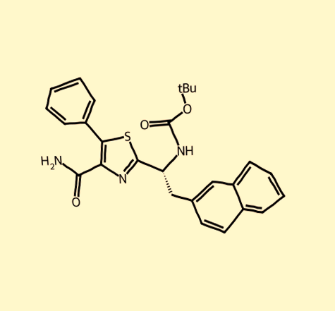 CC(C)(C)OC(=O)N[C@H](Cc1ccc2ccccc2c1)c1nc(C(N)=O)c(-c2ccccc2)s1